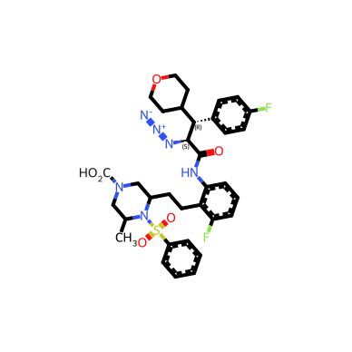 CC1CN(C(=O)O)CC(CCc2c(F)cccc2NC(=O)[C@@H](N=[N+]=[N-])[C@@H](c2ccc(F)cc2)C2CCOCC2)N1S(=O)(=O)c1ccccc1